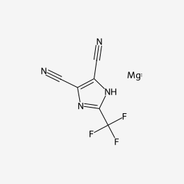 N#Cc1nc(C(F)(F)F)[nH]c1C#N.[Mg]